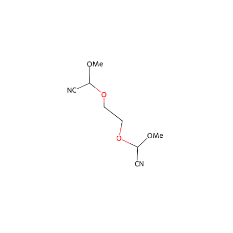 COC(C#N)OCCOC(C#N)OC